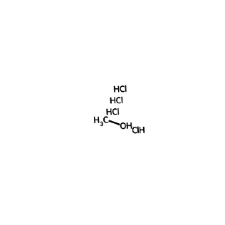 CO.Cl.Cl.Cl.Cl